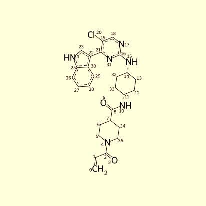 C=CC(=O)N1CCC(C(=O)N[C@H]2CC[C@@H](Nc3ncc(Cl)c(-c4c[nH]c5ccccc45)n3)CC2)CC1